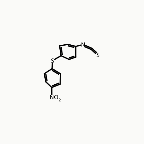 O=[N+]([O-])c1ccc(Sc2ccc(N=C=S)cc2)cc1